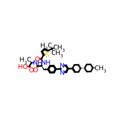 C[C@@H](NC(=O)[C@H](Cc1ccc(-c2ncc(C3=CCC([C@H]4CC[C@H](C)CC4)CC3)cn2)cc1)NC(=O)c1ccc(C(C)(C)C)s1)C(=O)O